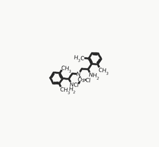 Cc1cccc(C)c1C(N)C[N](CC(N)c1c(C)cccc1C)[Os]([Cl])[Cl]